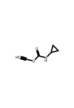 C#COC(=O)NC1CC1